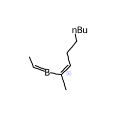 CC=B/C(C)=C\CCCCCC